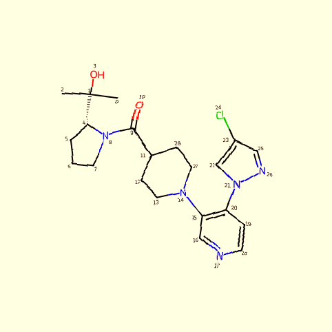 CC(C)(O)[C@H]1CCCN1C(=O)C1CCN(c2cnccc2-n2cc(Cl)cn2)CC1